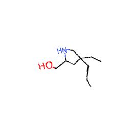 CCCC1(CC)CNC(CO)C1